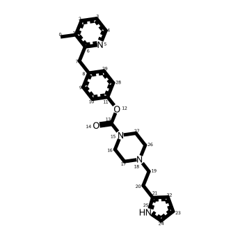 Cc1cccnc1Cc1ccc(OC(=O)N2CCN(CCc3ccc[nH]3)CC2)cc1